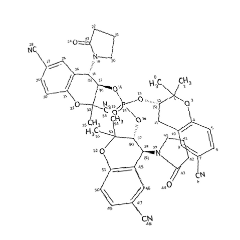 CC1(C)Oc2ccc(C#N)cc2C[C@@H]1OP(=O)(O[C@@H]1[C@@H](N2CCCC2=O)c2cc(C#N)ccc2OC1(C)C)O[C@@H]1[C@@H](N2CCCC2=O)c2cc(C#N)ccc2OC1(C)C